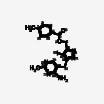 Cc1ccc(C(=O)OCc2nnn(Cc3cnc(C)nc3N)c2I)cc1